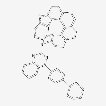 c1ccc(-c2ccc(-c3nc(-n4c5ccc6ccc7ccc8ccc9sc%10ccc4c4c%10c9c8c7c6c45)nc4ccccc34)cc2)cc1